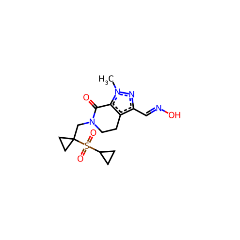 Cn1nc(C=NO)c2c1C(=O)N(CC1(S(=O)(=O)C3CC3)CC1)CC2